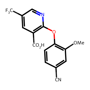 COc1cc(C#N)ccc1Oc1ncc(C(F)(F)F)cc1C(=O)O